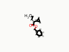 C=CC[C@H](C(=O)OCc1ccccc1)C1CC1